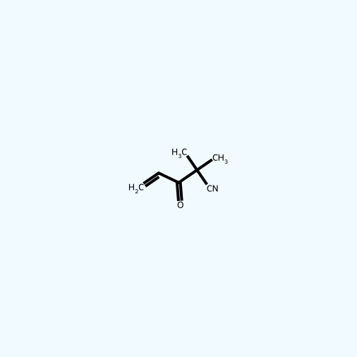 C=CC(=O)C(C)(C)C#N